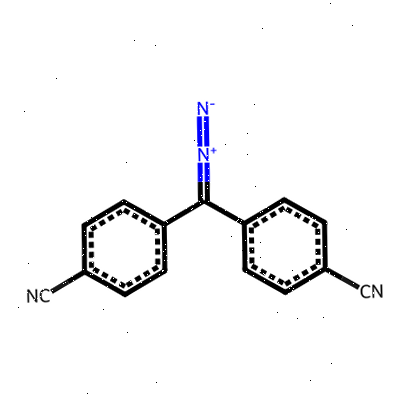 N#Cc1ccc(C(=[N+]=[N-])c2ccc(C#N)cc2)cc1